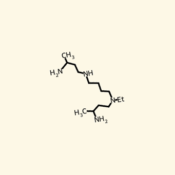 CCN(CCCCNCCC(C)N)CCC(C)N